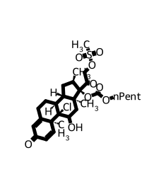 CCCCCOC(=O)O[C@]1(C(=O)COS(C)(=O)=O)[C@H](C)C[C@H]2[C@@H]3CCC4=CC(=O)C=C[C@]4(C)[C@@]3(Cl)C(O)C[C@@]21C